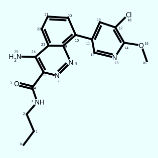 CCCNC(=O)c1nnc2c(-c3cnc(OC)c(Cl)c3)cccc2c1N